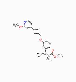 COC(=O)[C@@H](C)[C@H](c1cccc(OCC2CC(c3ccnc(OC)c3)C2)c1)C1CC1